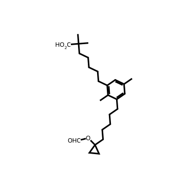 Cc1cc(CCCCCC2(OC=O)CC2)c(C)c(CCCCCC(C)(C)C(=O)O)c1